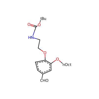 CCCCCCCCOc1cc(C=O)ccc1OCCNC(=O)OC(C)(C)C